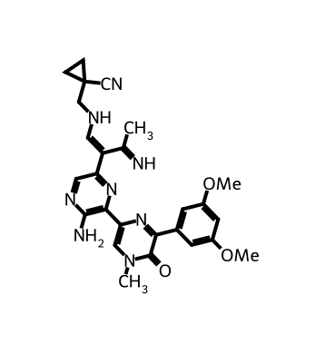 COc1cc(OC)cc(-c2nc(-c3nc(/C(=C/NCC4(C#N)CC4)C(C)=N)cnc3N)cn(C)c2=O)c1